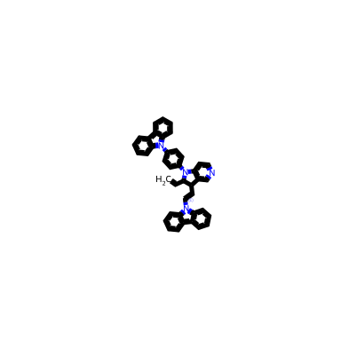 C=CC1C(/C=C/n2c3ccccc3c3ccccc32)c2cnccc2N1c1ccc(-n2c3ccccc3c3ccccc32)cc1